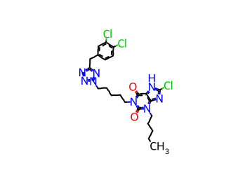 CCCCCn1c(=O)n(CCCCCn2nnc(Cc3ccc(Cl)c(Cl)c3)n2)c(=O)c2[nH]c(Cl)nc21